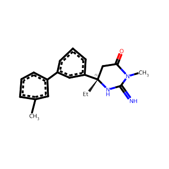 CC[C@@]1(c2cccc(-c3cccc(C)c3)c2)CC(=O)N(C)C(=N)N1